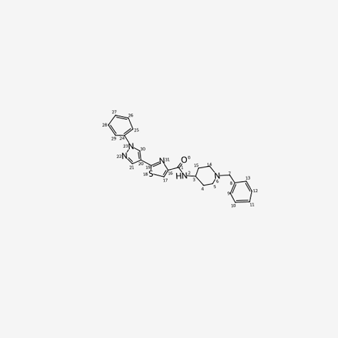 O=C(NC1CCN(Cc2ccccc2)CC1)c1csc(-c2cnn(-c3ccccc3)c2)n1